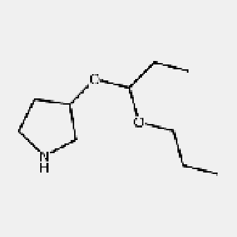 CCCOC(CC)OC1CCNC1